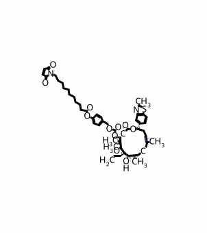 C=CC[C@H]1C(=O)C(C)(C)[C@@H](OC(=O)OCc2ccc(OC(=O)CCCCCCCCCCN3C(=O)C=CC3=O)cc2)CC(=O)O[C@H](c2ccc3sc(C)nc3c2)C/C=C(/C)CCC[C@H](C)[C@@H]1O